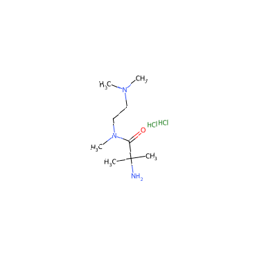 CN(C)CCN(C)C(=O)C(C)(C)N.Cl.Cl